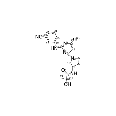 CCCc1cc(N2CCC(NC(=O)C(C)(C)O)C2)nc(Nc2cccc(C#N)c2)n1